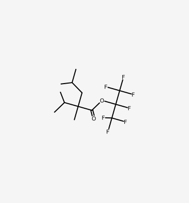 CC(C)CC(C)(C(=O)OC(F)(C(F)(F)F)C(F)(F)F)C(C)C